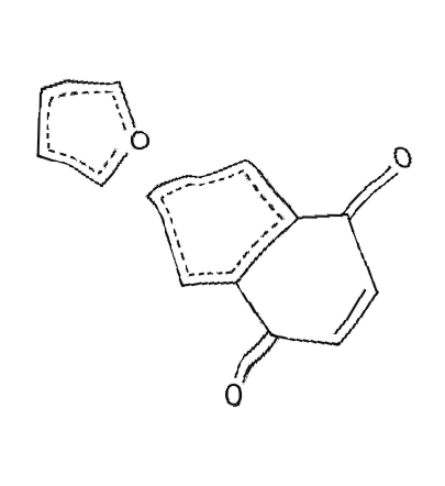 O=C1C=CC(=O)c2ccccc21.c1ccoc1